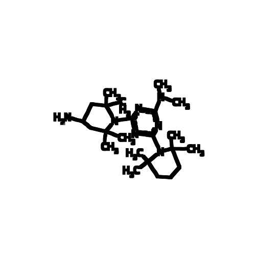 CN(C)c1nc(N2C(C)(C)CCCC2(C)C)nc(N2C(C)(C)CC(N)CC2(C)C)n1